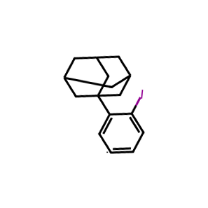 Ic1cc[c]cc1C12CC3CC(CC(C3)C1)C2